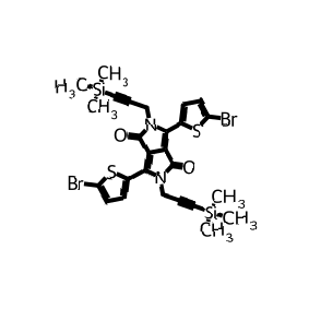 C[Si](C)(C)C#CCN1C(=O)C2=C(c3ccc(Br)s3)N(CC#C[Si](C)(C)C)C(=O)C2=C1c1ccc(Br)s1